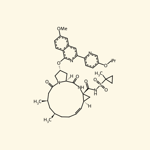 COc1ccc2c(O[C@@H]3C[C@H]4C(=O)N[C@]5(C(=O)NS(=O)(=O)C6(C)CC6)C[C@H]5/C=C\CC[C@@H](C)C[C@@H](C)CC(=O)N4C3)nc(-c3ccc(OC(C)C)cn3)cc2c1